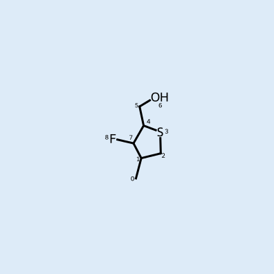 CC1CSC(CO)C1F